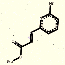 [C-]#[N+]c1cccc(/C=C/C(=O)OC(C)(C)C)n1